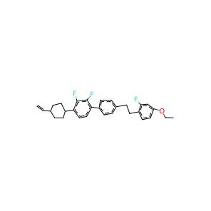 C=CC1CCC(c2ccc(-c3ccc(CCc4ccc(OCC)cc4F)cc3)c(F)c2F)CC1